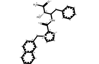 NC(=O)[C@@H](O)C(Cc1ccccc1)NC(=O)c1nccn1Cc1ccc2ccccc2c1